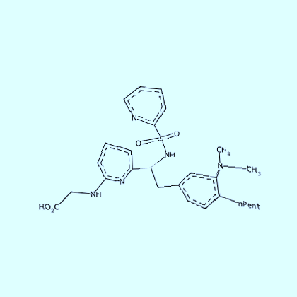 CCCCCc1ccc(CC(NS(=O)(=O)c2ccccn2)c2cccc(NCC(=O)O)n2)cc1N(C)C